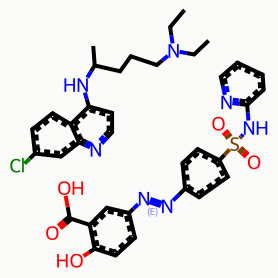 CCN(CC)CCCC(C)Nc1ccnc2cc(Cl)ccc12.O=C(O)c1cc(/N=N/c2ccc(S(=O)(=O)Nc3ccccn3)cc2)ccc1O